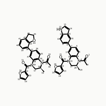 CC(=O)N1c2ccc(-c3ccc4[nH]ccc4c3)cc2N(C(=O)c2ccco2)C[C@@H]1C.CC(=O)N1c2ccc(-c3cccc4c3OCC4)cc2N(C(=O)c2ccco2)C[C@@H]1C